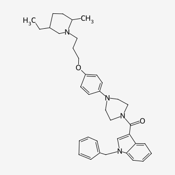 CCC1CCC(C)N(CCCOc2ccc(N3CCN(C(=O)c4cn(Cc5ccccc5)c5ccccc45)CC3)cc2)C1